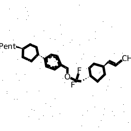 CC=C[C@H]1CC[C@H](CC(F)(F)OCc2ccc([C@H]3CC[C@H](CCCCC)CC3)cc2)CC1